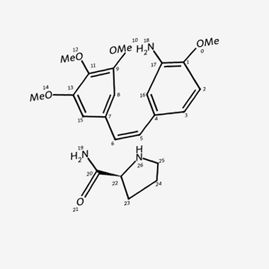 COc1ccc(/C=C\c2cc(OC)c(OC)c(OC)c2)cc1N.NC(=O)[C@@H]1CCCN1